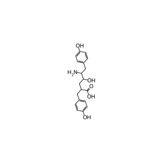 NC(Cc1ccc(O)cc1)C(O)CC(Cc1ccc(O)cc1)C(=O)O